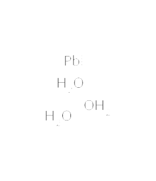 O.O.O.[Pb]